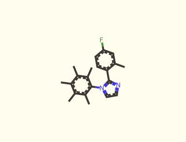 Cc1cc(F)ccc1-c1nccn1-c1c(C)c(C)c(C)c(C)c1C